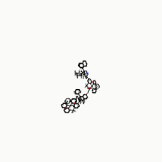 CC1(C)c2cc(C(=N)/C=C\C(=N)c3cccc4ccccc34)ccc2C2(c3ccccc3Oc3ccccc32)c2ccc(-c3ccc4nc(-c5ccc6c(c5)C5(c7ccccc7Oc7ccccc75)c5ccccc5C6(C)C)nc(-c5ccccc5)c4c3)cc21